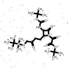 CC(C)(C)OC(=O)NC1C(=O)N(C(=O)C(=O)OC(C)(C)C)C1CCC(=O)CO[Si](C)(C)C(C)(C)C